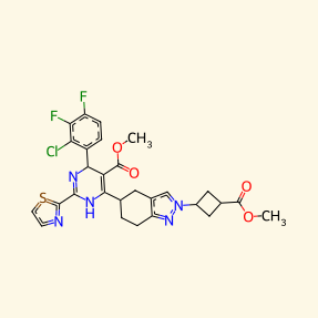 COC(=O)C1=C(C2CCc3nn(C4CC(C(=O)OC)C4)cc3C2)NC(c2nccs2)=NC1c1ccc(F)c(F)c1Cl